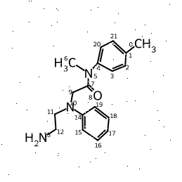 Cc1ccc(N(C)C(=O)CN(CCN)c2ccccc2)cc1